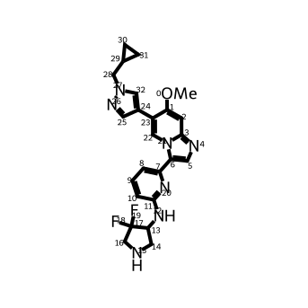 COc1cc2ncc(-c3cccc(NC4CNCC4(F)F)n3)n2cc1-c1cnn(CC2CC2)c1